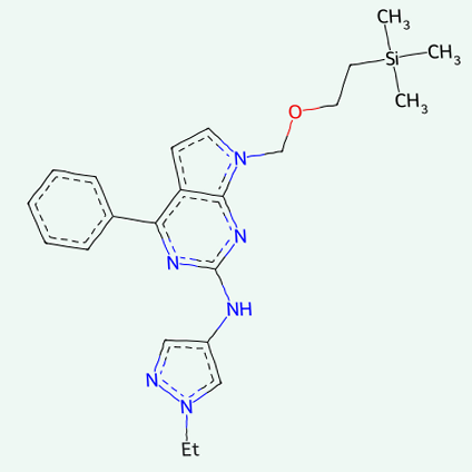 CCn1cc(Nc2nc(-c3ccccc3)c3ccn(COCC[Si](C)(C)C)c3n2)cn1